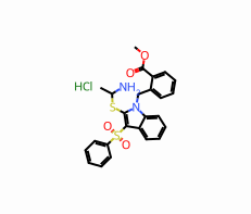 COC(=O)c1ccccc1Cn1c(SC(C)N)c(S(=O)(=O)c2ccccc2)c2ccccc21.Cl